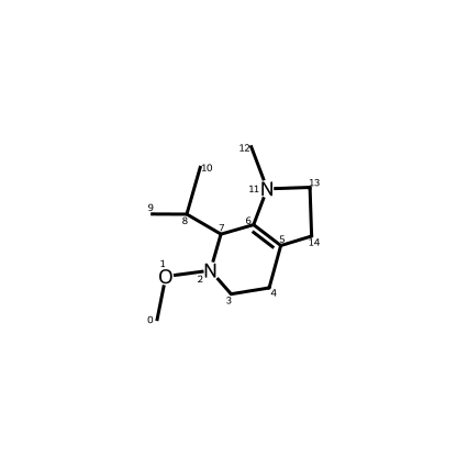 CON1CCC2=C(C1C(C)C)N(C)CC2